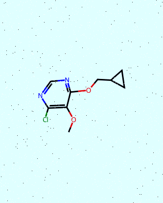 COc1c(Cl)ncnc1OCC1CC1